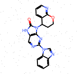 O=c1[nH]c2cnc(-n3cnc4ccccc43)nc2n1C1CCOc2ncccc21